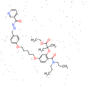 CCCN(CCC)C(=O)c1ccc(OCCCCCOc2ccc(CN=NC(=O)c3cccnc3)cc2)cc1OC(C)(C)C(=O)OCC